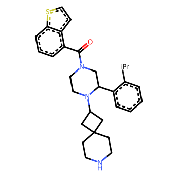 CC(C)c1ccccc1C1CN(C(=O)c2cccc3sccc23)CCN1C1CC2(CCNCC2)C1